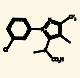 Cc1c(C(F)(F)F)nn(-c2cccc(Cl)c2)c1N(C)C(=O)O